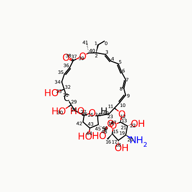 CC[C@H]1/C=C/C=C/C=C/C=C/C(O[C@@H]2O[C@H](C)[C@@H](O)[C@H](N)[C@H]2O)C[C@@H]2O[C@](O)(CC(O)CC(O)C/C=C/C(=O)O[C@@H]1C)C[C@H](O)[C@H]2C(=O)O